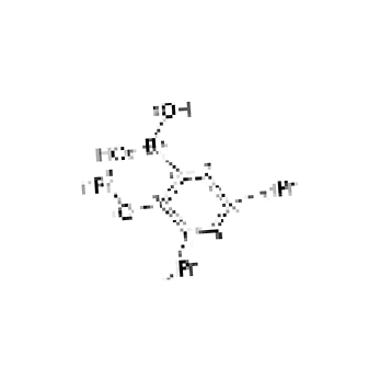 CCCOc1c(B(O)O)cc(C(C)C)cc1C(C)C